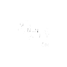 C=C/C(=N\C1=CC(O)CC=C1C)N1CCOCC1